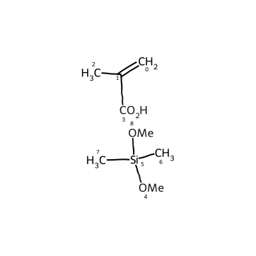 C=C(C)C(=O)O.CO[Si](C)(C)OC